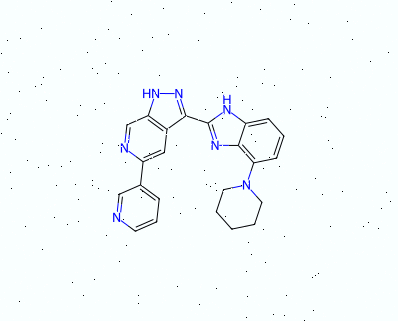 c1cncc(-c2cc3c(-c4nc5c(N6CCCCC6)cccc5[nH]4)n[nH]c3cn2)c1